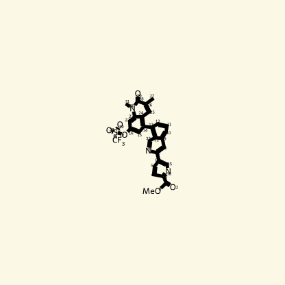 COC(=O)c1ccc(-c2cc3cccc(-c4cc(OS(=O)(=O)C(F)(F)F)cc5c4cc(C)c(=O)n5C)c3cn2)cn1